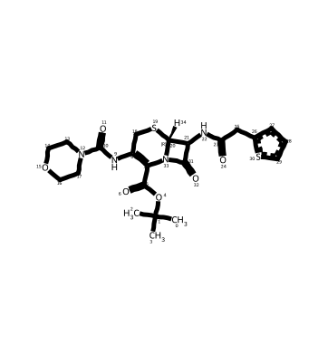 CC(C)(C)OC(=O)C1=C(NC(=O)N2CCOCC2)CS[C@@H]2C(NC(=O)Cc3cccs3)C(=O)N12